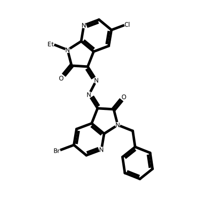 CCN1C(=O)/C(=N\N=C2/C(=O)N(Cc3ccccc3)c3ncc(Br)cc32)c2cc(Cl)cnc21